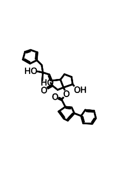 CC(O)(C=CC1CCC(O)C1(CC(=O)O)OC(=O)c1cccc(-c2ccccc2)c1)Cc1ccccc1